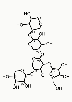 C[C@@H]1OC[C@@H](O[C@@H]2OC[C@@H](O[C@@H]3OC[C@@H](O[C@@H]4OC[C@@H](O)C(O)[C@@H]4O)C(O)C3O[C@@H]3O[C@@H](CO)C(O)C3O)C(O)C2O)C(O)C1O